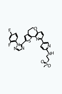 CS(=O)(=O)CCNc1ccc(-c2ccc3c(n2)-c2sc(-c4ncnn4-c4ccc(F)cc4F)cc2CCO3)cn1